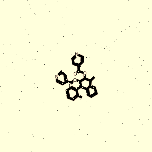 Cc1ccccc1C1c2ccccc2C(C)C(OC(=O)c2ccncc2)C1OC(=O)c1ccncc1